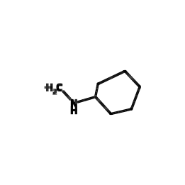 [CH2]NC1CCCCC1